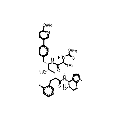 COC(=O)N[C@H](C(=O)N[C@@H](Cc1ccc(-c2ccc(OC)nc2)cc1)[C@@H](O)C[C@@H](Cc1ccccc1F)C(=O)N[C@H]1c2ccsc2CC[C@H]1O)C(C)(C)C